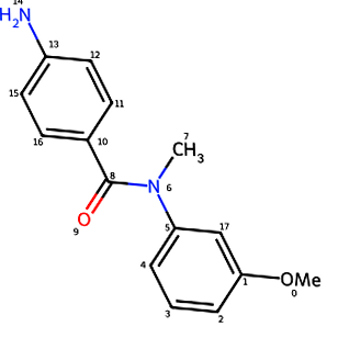 COc1cccc(N(C)C(=O)c2ccc(N)cc2)c1